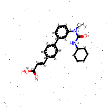 CN(C(=O)NC1CCCCC1)c1cccc(-c2ccc(/C=C/C(=O)O)cc2)c1